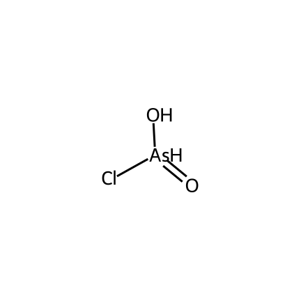 O=[AsH](O)Cl